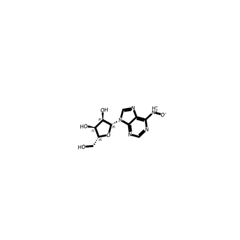 [O-][NH2+]c1ncnc2c1ncn2[C@@H]1O[C@H](CO)[C@@H](O)[C@H]1O